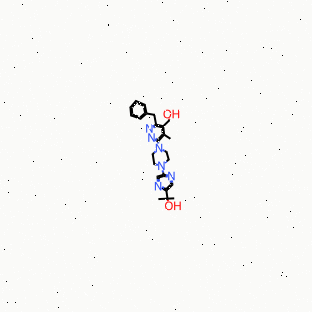 Cc1c(N2CCN(c3cnc(C(C)(C)O)cn3)CC2)nnc(Cc2ccccc2)c1CO